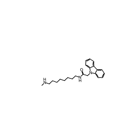 CNCCCCCCCCNC(=O)Cn1c2ccccc2c2ccccc21